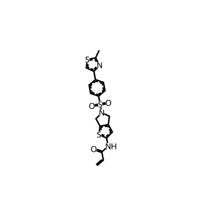 C=CC(=O)Nc1cc2c(s1)CN(S(=O)(=O)c1ccc(-c3csc(C)n3)cc1)C2